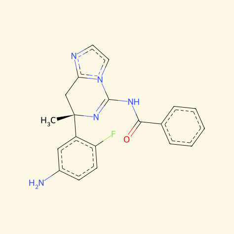 C[C@@]1(c2cc(N)ccc2F)Cc2nccn2C(NC(=O)c2ccccc2)=N1